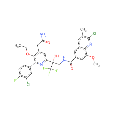 CCOc1c(CC(N)=O)cc([C@@](O)(CNC(=O)c2cc(OC)c3nc(Cl)c(C)cc3c2)C(F)(F)F)nc1-c1ccc(F)c(Cl)c1